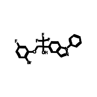 OC(COc1cc(F)ccc1Br)(c1ccc2c(cnn2-c2ccccc2)c1)C(F)(F)F